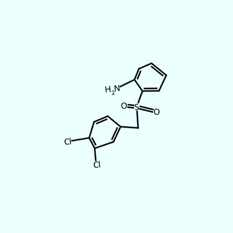 Nc1ccccc1S(=O)(=O)Cc1ccc(Cl)c(Cl)c1